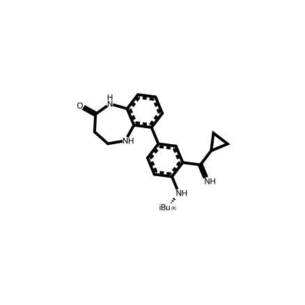 CC[C@@H](C)Nc1ccc(-c2cccc3c2NCCC(=O)N3)cc1C(=N)C1CC1